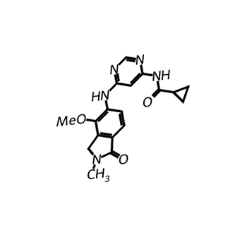 COc1c(Nc2cc(NC(=O)C3CC3)ncn2)ccc2c1CN(C)C2=O